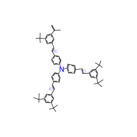 C=C(C)c1cc(/C=C/c2ccc(N(c3ccc(/C=C/c4cc(C(C)(C)C)cc(C(C)(C)C)c4)cc3)c3ccc(/C=C/c4cc(C(C)(C)C)cc(C(C)(C)C)c4)cc3)cc2)cc(C(C)(C)C)c1